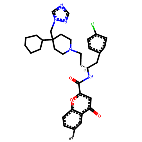 CC(C)c1ccc2oc(C(=O)N[C@H](CCN3CCC(Cn4cncn4)(C4CCCCC4)CC3)Cc3ccc(Cl)cc3)cc(=O)c2c1